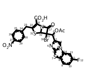 CC(=O)OC(c1cn2c(n1)sc1ccc(F)cc12)C1(Br)C(=O)N2C(C(=O)O)=C(Cc3ccc([N+](=O)[O-])cc3)SC21